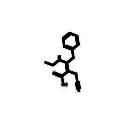 CCN/C(Cc1ccccc1)=C(/SC#N)C(=O)O